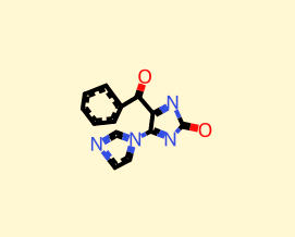 O=C1N=C(C(=O)c2ccccc2)C(n2ccnc2)=N1